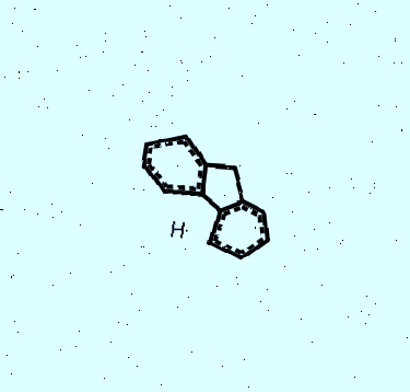 [H].c1ccc2c(c1)Cc1ccccc1-2